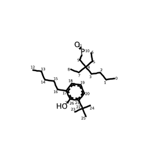 CCCCC(CC)(CC)CP=O.CCCCCc1cccc(C(C)(C)C)c1O